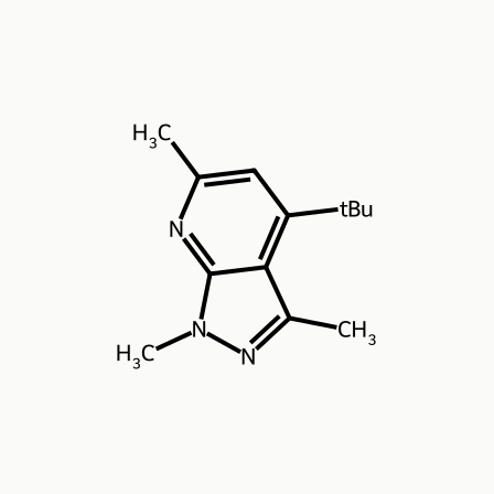 Cc1cc(C(C)(C)C)c2c(C)nn(C)c2n1